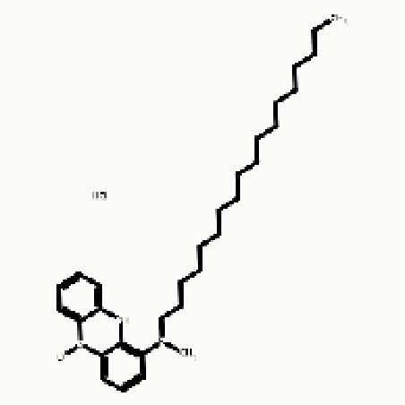 CCCCCCCCCCCCCCCCCCN(C)c1cccc2c1Nc1ccccc1[S+]2[O-].Cl